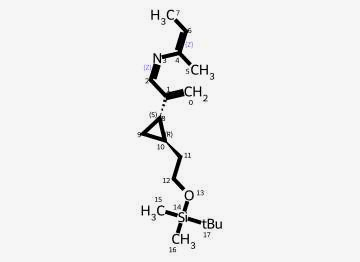 C=C(/C=N\C(C)=C/C)[C@H]1C[C@@H]1CCO[Si](C)(C)C(C)(C)C